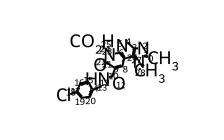 Cc1nc2cnc3c(cc(C(=O)NCc4ccc(Cl)cc4)c(=O)n3CC(=O)O)c2n1C